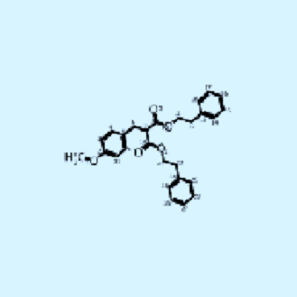 COc1ccc(CC(C(=O)OCCc2ccccc2)C(=O)OCCc2ccccc2)cc1